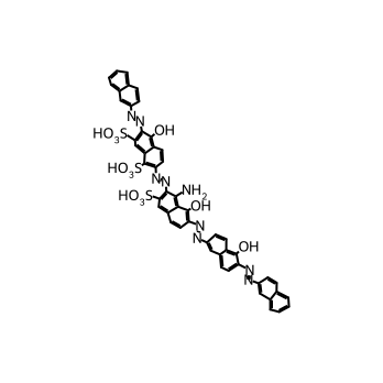 Nc1c(N=Nc2ccc3c(O)c(N=Nc4ccc5ccccc5c4)c(S(=O)(=O)O)cc3c2S(=O)(=O)O)c(S(=O)(=O)O)cc2ccc(N=Nc3ccc4c(O)c(N=Nc5ccc6ccccc6c5)ccc4c3)c(O)c12